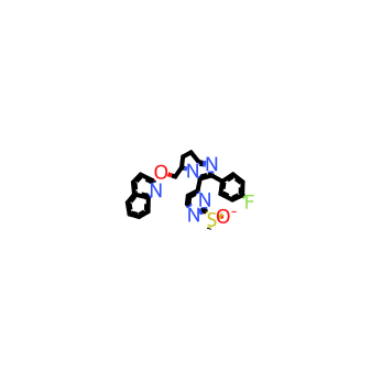 C[S+]([O-])c1nccc(-c2c(-c3ccc(F)cc3)nc3n2C(COc2ccc4ccccc4n2)CC3)n1